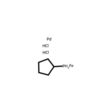 Cl.Cl.PC1CCCC1.[Fe].[Pd]